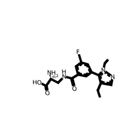 CCc1cnn(CC)c1-c1cc(F)cc(C(=O)NC[C@@H](N)C(=O)O)c1